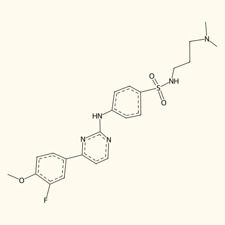 COc1ccc(-c2ccnc(Nc3ccc(S(=O)(=O)NCCCN(C)C)cc3)n2)cc1F